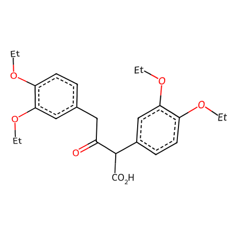 CCOc1ccc(CC(=O)C(C(=O)O)c2ccc(OCC)c(OCC)c2)cc1OCC